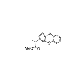 COC(=O)C(C)c1ccc2c(c1)Sc1ccccc1S2